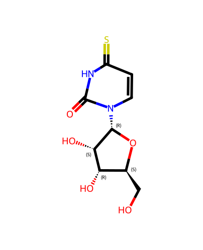 O=c1[nH]c(=S)ccn1[C@@H]1O[C@@H](CO)[C@H](O)[C@@H]1O